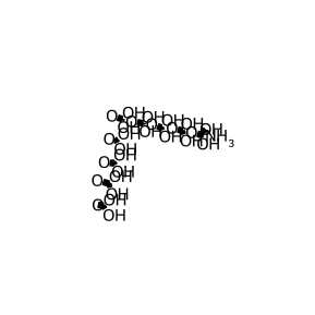 N.O=C(O)O.O=C(O)O.O=C(O)O.O=C(O)O.O=C(O)O.O=C(O)O.O=C(O)O.O=C(O)O.O=C(O)O